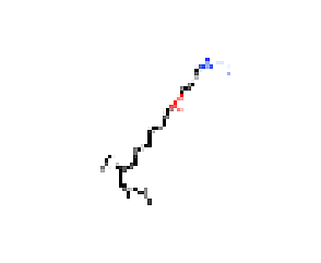 CCC(C)CCCCCCOCCCN